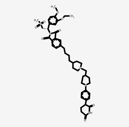 CCOc1cc([C@@H](CS(C)(=O)=O)N2C(=O)c3ccc(CCCCC4CCN(CC5CCN(c6ccc(C7CCC(=O)NC7=O)cc6)CC5)CC4)cc3C2=O)ccc1OC